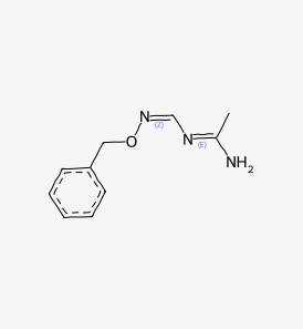 C/C(N)=N\C=N/OCc1ccccc1